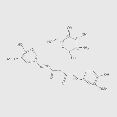 COc1cc(/C=C/C(=O)CC(=O)/C=C/c2ccc(O)c(OC)c2)ccc1O.N[C@H]1C(O)O[C@H](CO)[C@@H](O)[C@@H]1O